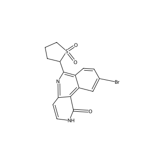 O=c1[nH]ccc2nc(C3CCCS3(=O)=O)c3ccc(Br)cc3c12